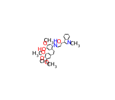 COc1cc(N/C=C\C(=O)c2cn(C)c3ccccc23)c(/C=C\c2cc(OC)c(OC)c(OC)c2)cc1O